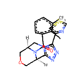 Cc1c(C(=O)N2[C@H]3COC[C@@H]2c2nnc(-c4cscn4)n2C3)cccc1C(F)(F)F